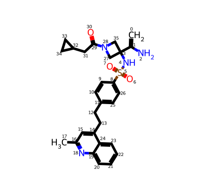 C=C(N)C1(NS(=O)(=O)c2ccc(CCc3cc(C)nc4ccccc34)cc2)CN(C(=O)CC2CC2)C1